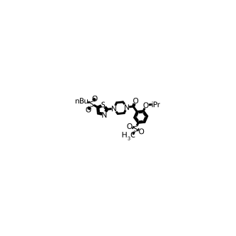 CCCCS(=O)(=O)c1cnc(N2CCN(C(=O)c3cc(S(C)(=O)=O)ccc3OC(C)C)CC2)s1